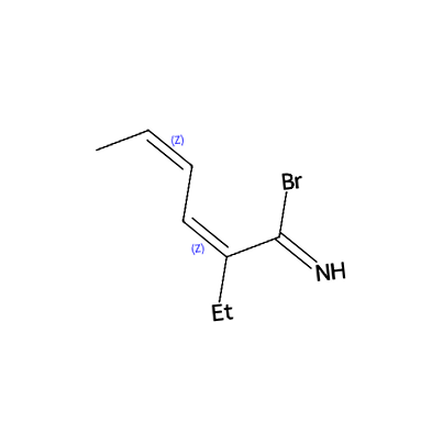 C/C=C\C=C(\CC)C(=N)Br